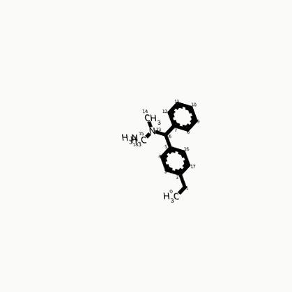 CCc1ccc(C(c2ccccc2)N(C)C)cc1.N